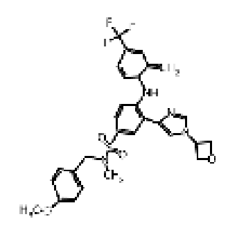 C=C1C=C(C(F)(F)F)C=CC1Nc1ccc(S(=O)(=O)N(C)Cc2ccc(OC)cc2)cc1-c1cn(C2COC2)cn1